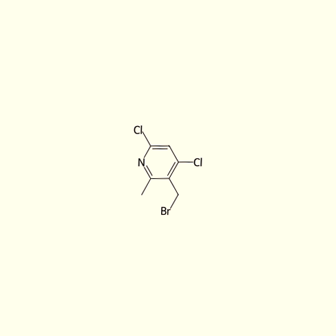 Cc1nc(Cl)cc(Cl)c1CBr